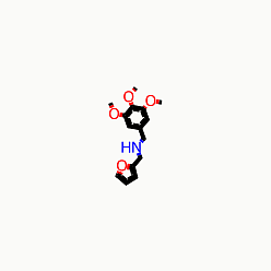 COc1cc(CNCc2ccco2)cc(OC)c1OC